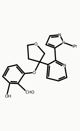 CC(C)n1nccc1-c1ncccc1C1(Oc2cccc(O)c2C=O)CCOC1